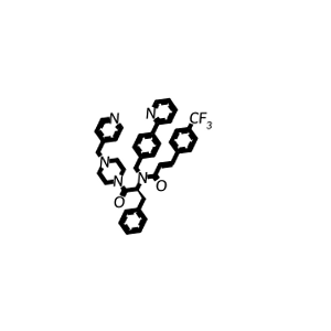 O=C([C@H](Cc1ccccc1)N(Cc1ccc(-c2ccccn2)cc1)C(=O)C=Cc1ccc(C(F)(F)F)cc1)N1CCN(Cc2ccncc2)CC1